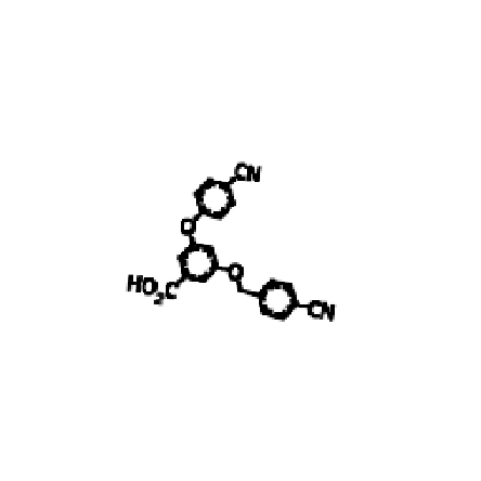 N#Cc1ccc(COc2cc(Oc3ccc(C#N)cc3)cc(C(=O)O)c2)cc1